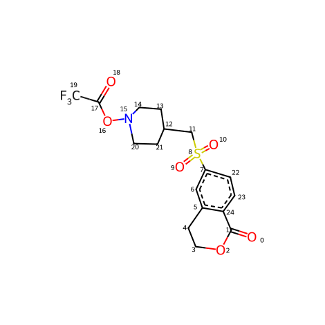 O=C1OCCc2cc(S(=O)(=O)CC3CCN(OC(=O)C(F)(F)F)CC3)ccc21